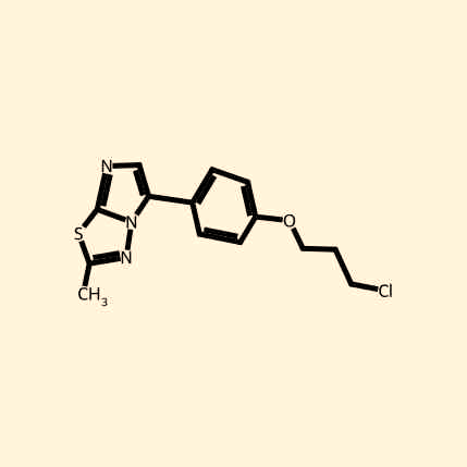 Cc1nn2c(-c3ccc(OCCCCl)cc3)cnc2s1